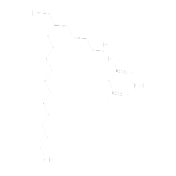 O=C(O)CC(=O)O.[KH].[Li][CH2]C(CCCCC)CCCCCCCCCCCC